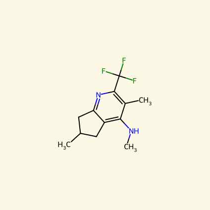 CNc1c(C)c(C(F)(F)F)nc2c1CC(C)C2